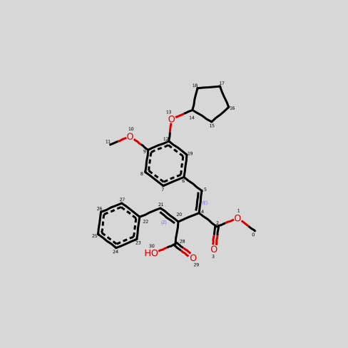 COC(=O)C(=C/c1ccc(OC)c(OC2CCCC2)c1)/C(=C/c1ccccc1)C(=O)O